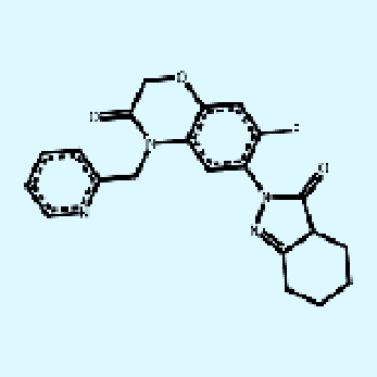 O=C1COc2cc(F)c(N3N=C4CCCCC4C3=O)cc2N1Cc1ccccn1